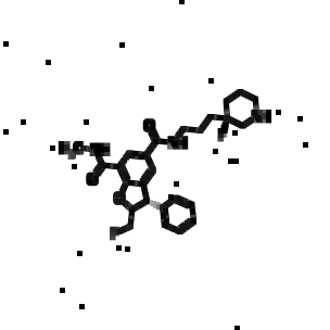 CNC(=O)c1cc(C(=O)NCCC[C@]2(F)CCCNC2)cc2c1OC(CF)[C@H]2c1ccccc1